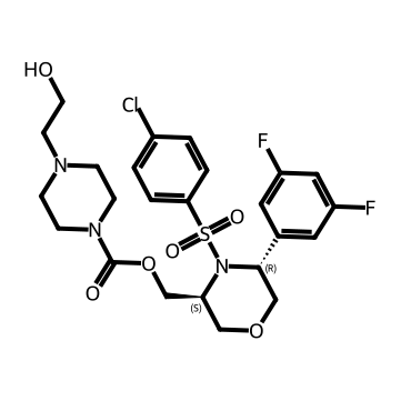 O=C(OC[C@@H]1COC[C@@H](c2cc(F)cc(F)c2)N1S(=O)(=O)c1ccc(Cl)cc1)N1CCN(CCO)CC1